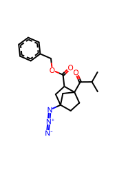 CC(C)C(=O)C12CCC(N=[N+]=[N-])(CC1C(=O)OCc1ccccc1)C2